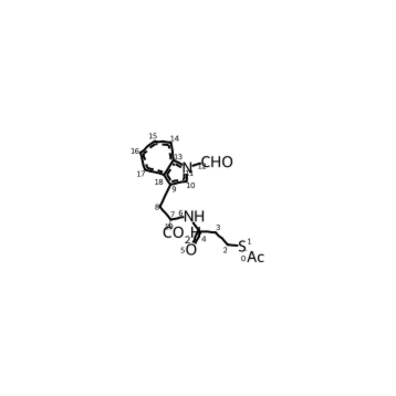 CC(=O)SCCC(=O)N[C@@H](Cc1cn(C=O)c2ccccc12)C(=O)O